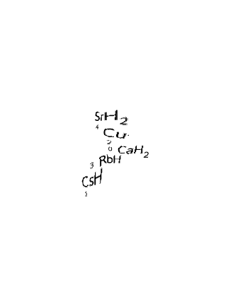 [CaH2].[CsH].[Cu].[RbH].[SrH2]